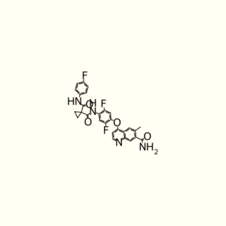 Cc1cc2c(Oc3cc(F)c(NC(=O)C4(C(=O)Nc5ccc(F)cc5)CC4)cc3F)ccnc2cc1C(N)=O